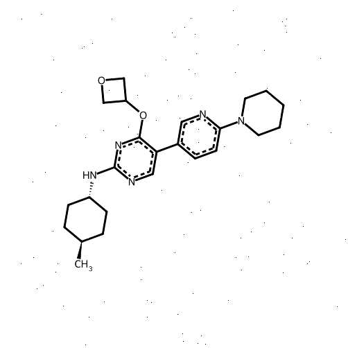 C[C@H]1CC[C@H](Nc2ncc(-c3ccc(N4CCCCC4)nc3)c(OC3COC3)n2)CC1